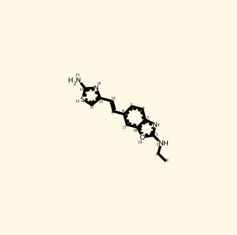 CCNc1nc2ccc(C=Cc3csc(N)n3)cc2o1